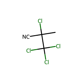 CC(Cl)(C#N)C(Cl)(Cl)Cl